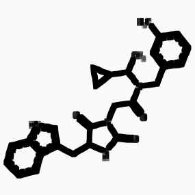 Cc1cccc(CN(C(=O)CN2C(=O)NC(Cc3c[nH]c4ccccc34)C2=O)C(C)C2CC2)c1